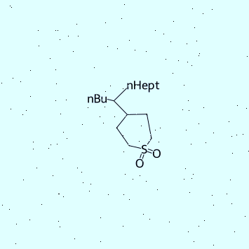 CCCCCCCC(CCCC)C1CCS(=O)(=O)CC1